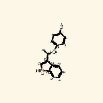 CC(Oc1ccc(Cl)cc1)c1c[nH]c2ccccc12